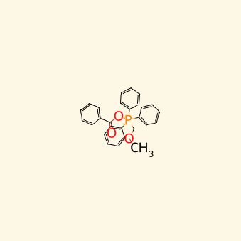 COCP(OC(=O)c1ccccc1)(c1ccccc1)(c1ccccc1)c1ccccc1